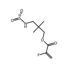 C=C(F)C(=O)OCC(C)(C)CN[SH](=O)=O